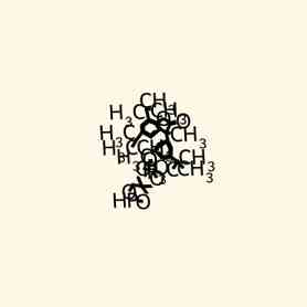 Cc1cc(C2(C)C(=O)Oc3c(C(C)(C)C)cc(C(C)(C)C)cc32)cc(C(C)(C)C)c1OP1(=O)OCC2(COPOC2)CO1